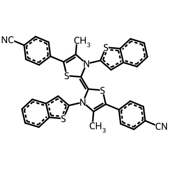 CC1=C(c2ccc(C#N)cc2)S/C(=C2/SC(c3ccc(C#N)cc3)=C(C)N2c2cc3ccccc3s2)N1c1cc2ccccc2s1